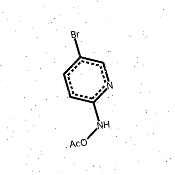 CC(=O)ONc1ccc(Br)cn1